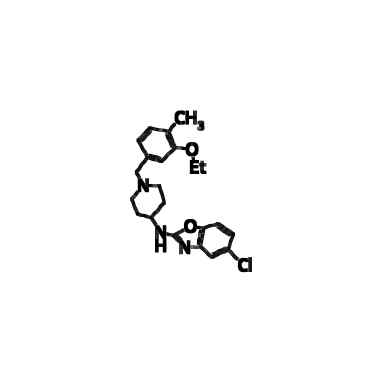 CCOc1cc(CN2CCC(Nc3nc4cc(Cl)ccc4o3)CC2)ccc1C